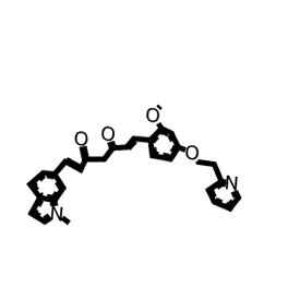 COc1cc(OCCc2ccccn2)ccc1C=CC(=O)CC(=O)C=Cc1ccc2ccn(C)c2c1